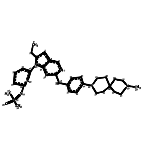 CCc1cc2cnc(Nc3ccc(N4CCC5(CCN(C)CC5)CC4)cc3)nc2n1-c1cccc(N=S(C)(C)=O)n1